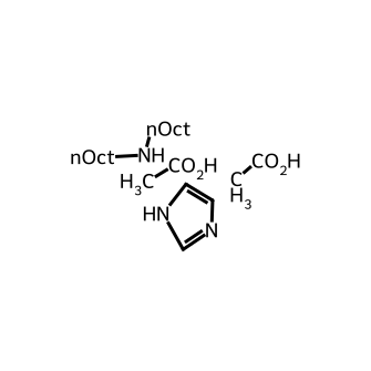 CC(=O)O.CC(=O)O.CCCCCCCCNCCCCCCCC.c1c[nH]cn1